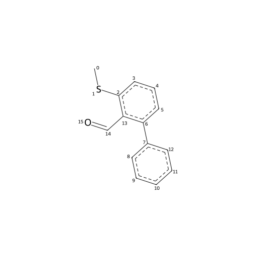 CSc1cccc(-c2ccccc2)c1C=O